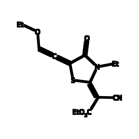 CCOC=C=c1s/c(=C(/C#N)C(=O)OCC)n(CC)c1=O